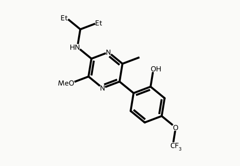 CCC(CC)Nc1nc(C)c(-c2ccc(OC(F)(F)F)cc2O)nc1OC